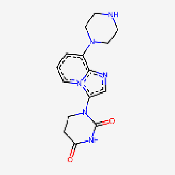 O=C1CCN(c2cnc3c(N4CCNCC4)cccn23)C(=O)N1